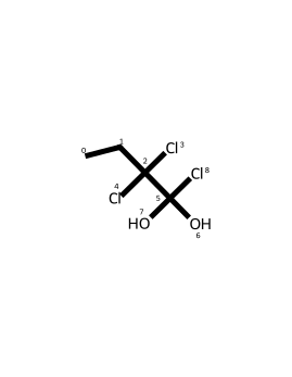 CCC(Cl)(Cl)C(O)(O)Cl